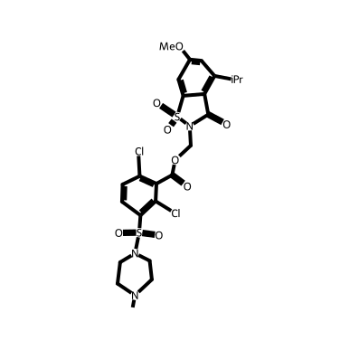 COc1cc(C(C)C)c2c(c1)S(=O)(=O)N(COC(=O)c1c(Cl)ccc(S(=O)(=O)N3CCN(C)CC3)c1Cl)C2=O